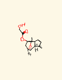 CC(C)C12CC(OC(=O)CO)C(C)(O1)C1CC[C@@H](C)[C@H]1C2